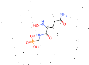 NC(=O)CC[C@H](NO)C(=O)NCP(=O)(O)O